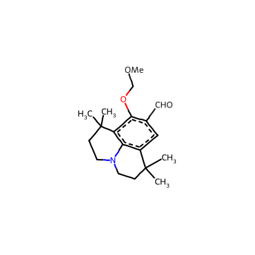 COCOc1c(C=O)cc2c3c1C(C)(C)CCN3CCC2(C)C